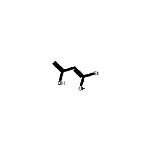 C=C(O)/C=C(\O)CC